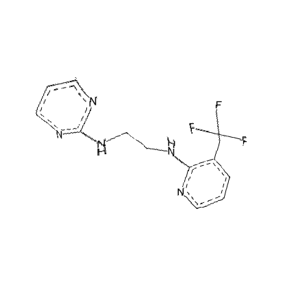 FC(F)(F)c1cccnc1NCCNc1n[c]ccn1